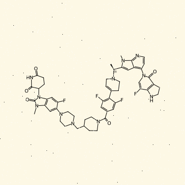 C[C@@H](c1cc2c(-n3cc(F)c4c(c3=O)CCN4)ccnc2n1C)N1CC=C(c2c(F)cc(C(=O)N3CCC(CN4CCN(c5cc6c(cc5F)n(C5CCC(=O)NC5=O)c(=O)n6C)CC4)CC3)cc2F)CC1